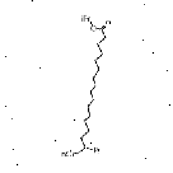 CCCCCCCCC(CCCCCCCCCCCCCCC(=O)OC(C)C)C(C)C